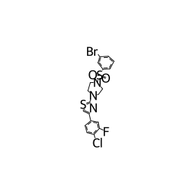 O=S(=O)(c1cccc(Br)c1)N1CCN(c2nc(-c3ccc(Cl)c(F)c3)cs2)CC1